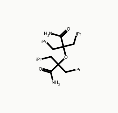 CC(C)CC(CC(C)C)(OC(CC(C)C)(CC(C)C)C(N)=O)C(N)=O